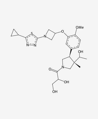 COc1ccc([C@@H]2CN(C(=O)C(O)CO)C[C@@]2(C)C(C)O)cc1OC1CN(c2nnc(C3CC3)s2)C1